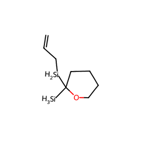 C=CC[SiH2]C1([SiH3])CCCCO1